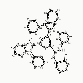 Cc1ccccc1/N=C(\Nc1ccccc1)c1cc(-c2nc3ccccc3n2-c2ccccc2)cc(-c2nc3ccccc3n2-c2ccccc2)c1